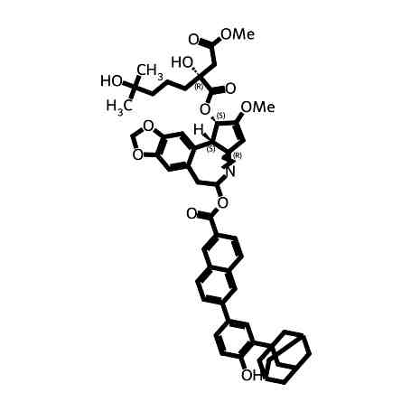 COC(=O)C[C@](O)(CCCC(C)(C)O)C(=O)O[C@@H]1C(OC)=C[C@]23CCCN2C(OC(=O)c2ccc4cc(-c5ccc(O)c(C67CC8CC(CC(C8)C6)C7)c5)ccc4c2)Cc2cc4c(cc2[C@H]13)OCO4